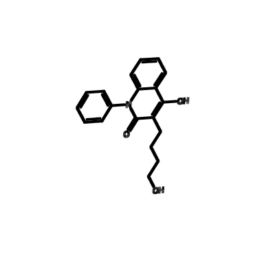 O=c1c(CCCCO)c(O)c2ccccc2n1-c1ccccc1